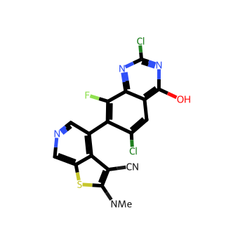 CNc1sc2cncc(-c3c(Cl)cc4c(O)nc(Cl)nc4c3F)c2c1C#N